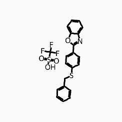 O=S(=O)(O)C(F)(F)F.c1ccc(CSc2ccc(-c3nc4ccccc4o3)cc2)cc1